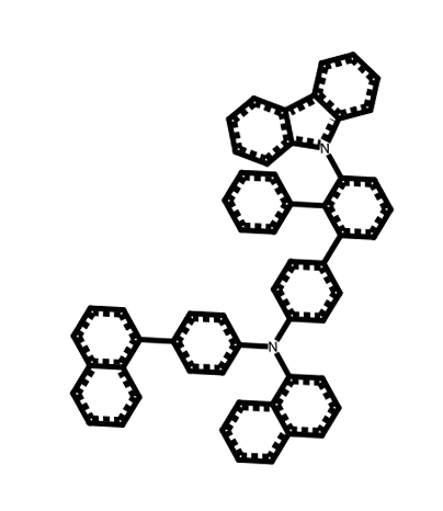 c1ccc(-c2c(-c3ccc(N(c4ccc(-c5cccc6ccccc56)cc4)c4cccc5ccccc45)cc3)cccc2-n2c3ccccc3c3ccccc32)cc1